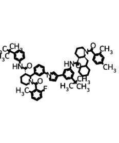 Cc1ccc(C(=O)N2CCC[C@H](C(=O)Nc3cc(-c4ccn(-c5cccc(C6[C@@H](C(=O)Nc7cccc(C(C)(C)C)c7)CCCN6C(=O)c6c(C)cccc6F)c5)c4)cc(C(C)(C)C)c3)[C@@H]2CC2CCCCC2)c(C)c1